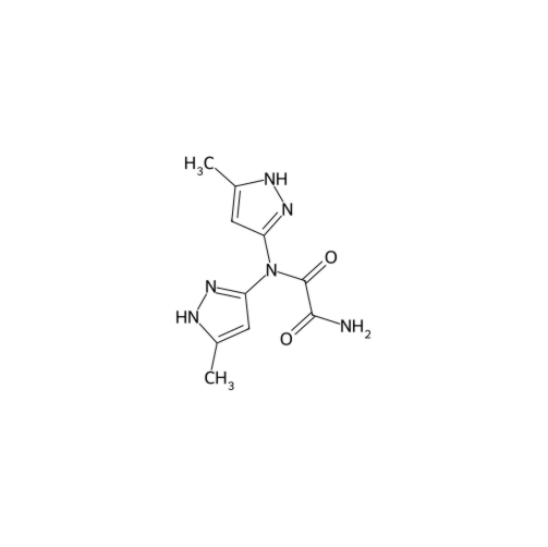 Cc1cc(N(C(=O)C(N)=O)c2cc(C)[nH]n2)n[nH]1